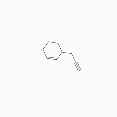 C#CCC1C=C[CH]CC1